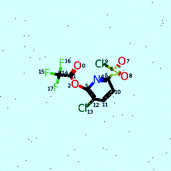 O=C(Oc1nc(S(=O)(=O)Cl)ccc1Cl)C(F)(F)F